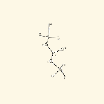 CC(C)(C)OP(Cl)OC(C)(C)C